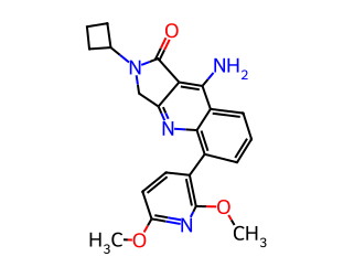 COc1ccc(-c2cccc3c(N)c4c(nc23)CN(C2CCC2)C4=O)c(OC)n1